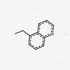 CCc1cccc2n[c]ccc12